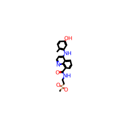 Cc1ccc(O)cc1Nc1ccnc2c(C(=O)NCCS(C)(=O)=O)cccc12